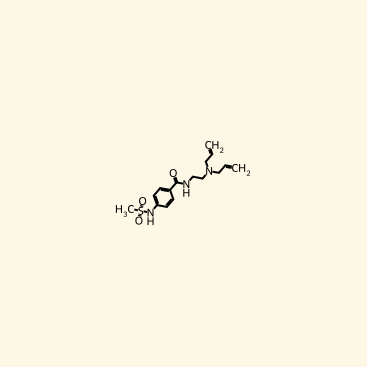 C=CCN(CC=C)CCNC(=O)c1ccc(NS(C)(=O)=O)cc1